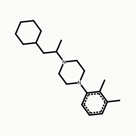 Cc1cccc(N2CCN(C(C)CC3CCCCC3)CC2)c1C